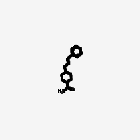 NC(=O)C1CCN(CC=Cc2ccccc2)CC1